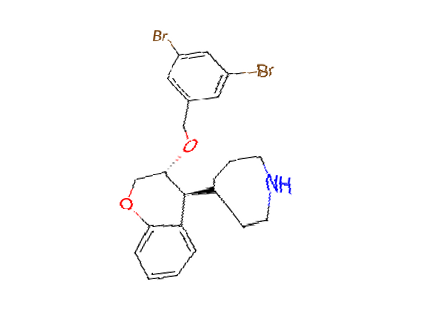 Brc1cc(Br)cc(CO[C@H]2COc3ccccc3[C@@H]2C2CCNCC2)c1